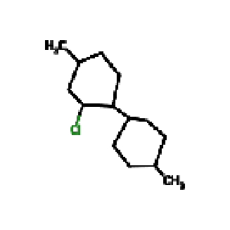 CC1CCC(C2CCC(C)CC2Cl)CC1